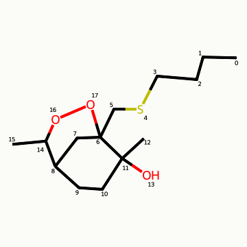 CCCCSCC12CC(CCC1(C)O)C(C)OO2